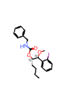 CCCC[C@H](OC(=O)NCc1ccccc1)[C@@H](OC)c1ccccc1I